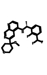 COC1(c2cc3c(N[C@H](C)c4cccc(C(F)F)c4F)ccnc3cn2)CCOCC1